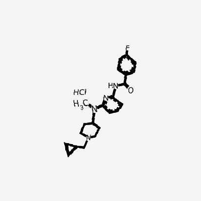 CN(c1cccc(NC(=O)c2ccc(F)cc2)n1)C1CCN(CC2CC2)CC1.Cl